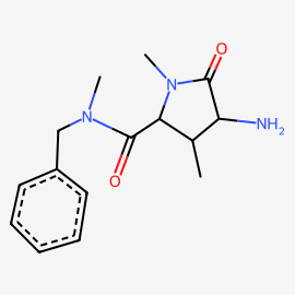 CC1C(N)C(=O)N(C)C1C(=O)N(C)Cc1ccccc1